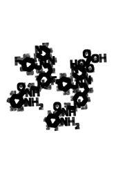 Nc1ccccc1C(=O)NCCN1CCC(Cc2nc3ccncc3n2Cc2ccc(F)cc2)CC1.Nc1ccccc1C(=O)NCCN1CCC(Cc2nc3ccncc3n2Cc2ccc(F)cc2)CC1.O=C(O)C(=O)O